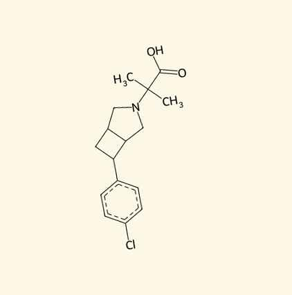 CC(C)(C(=O)O)N1CC2CC(c3ccc(Cl)cc3)C2C1